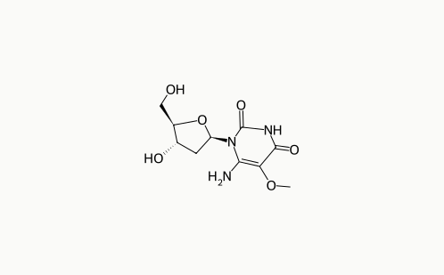 COc1c(N)n([C@H]2C[C@H](O)[C@@H](CO)O2)c(=O)[nH]c1=O